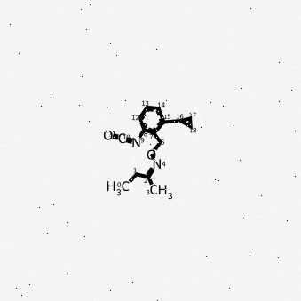 CCC(C)=NOCc1c(N=C=O)cccc1C1CC1